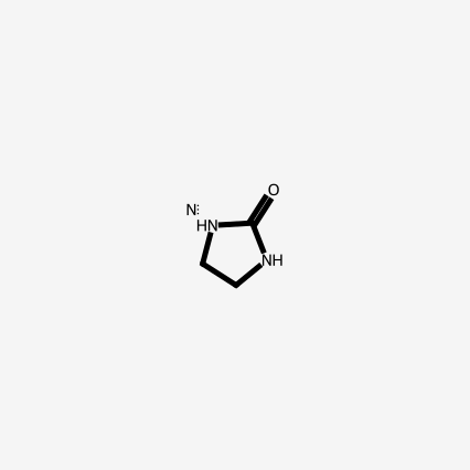 O=C1NCCN1.[N]